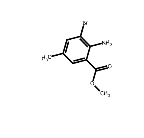 COC(=O)c1cc(C)cc(Br)c1N